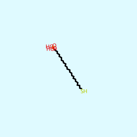 O=P(O)(O)OCCCCCCCCCCCCCCCCCCCCCCCCCCS